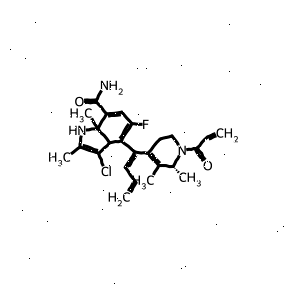 C=C/C=C(\C1=C(C)[C@@H](C)N(C(=O)C=C)CC1)C1=C(F)C=C(C(N)=O)C2(C)NC(C)=C(Cl)C12